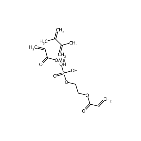 C=C(C)C(=C)C.C=CC(=O)OC.C=CC(=O)OCCOP(=O)(O)O